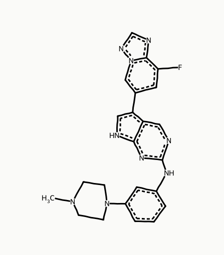 CN1CCN(c2cccc(Nc3ncc4c(-c5cc(F)c6ncnn6c5)c[nH]c4n3)c2)CC1